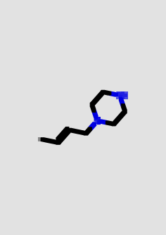 [CH2]/C=C/CN1CCNCC1